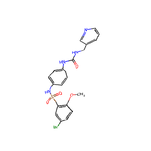 COc1ccc(Br)cc1S(=O)(=O)Nc1ccc(NC(=O)NCc2cccnc2)cc1